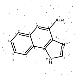 [AsH2]c1nc2ccccc2c2[nH]cnc12